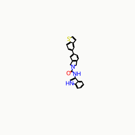 O=C(Nc1c[nH]c2ccccc12)N1Cc2ccc(-c3ccc4sccc4c3)cc2C1